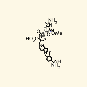 CO/N=C(\C(=O)N[C@@H]1C(=O)N2C(C(=O)O)=C(C[n+]3ccc4c(ccn4Cc4ccc(C(=N)N)cc4F)c3)CS[C@H]12)c1csc(N)n1